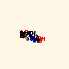 CC/C(=C(\c1ccccc1)c1ccc(OCCN(C)Cc2ccc(-c3cn(CCCCn4ccc(=O)c(O)c4C)nn3)cc2)cc1)c1ccccc1